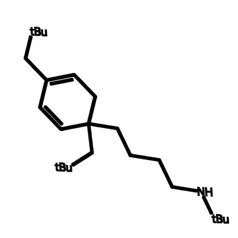 CC(C)(C)CC1=CCC(CCCCNC(C)(C)C)(CC(C)(C)C)C=C1